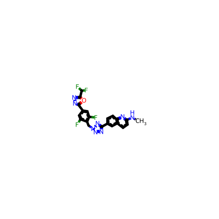 CNc1ccc2cc(-c3nnn(Cc4c(F)cc(-c5nnc(C(F)F)o5)cc4F)n3)ccc2n1